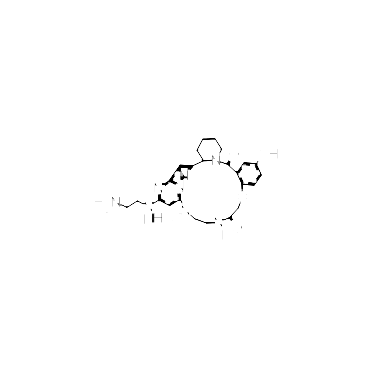 Cc1ccc2c(c1)C(=O)N1CCCCC1c1cc3nc(NCCN)cc(n3n1)N(C)CCNC(=O)CO2